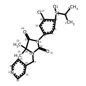 CC(C)[S+]([O-])c1ccc(N2C(=O)N(Cc3ccncc3)C(C)(C)C2=O)cc1Cl